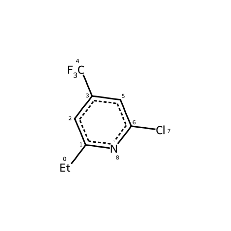 CCc1cc(C(F)(F)F)cc(Cl)n1